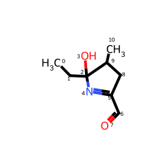 CCC1(O)N=C(C=O)CC1C